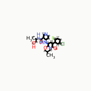 CC1COc2c(Nc3ccncc3C(=O)NC(C)CO)cc(-c3cc(Cl)ccc3F)c(=O)n2C1